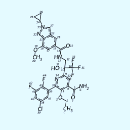 CCOc1c(C(N)=O)cc([C@@](O)(CNC(=O)c2cc(OC)c3nn(C4CC4)cc3c2)C(F)(F)F)nc1-c1cc(Cl)cc(F)c1F